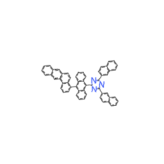 c1ccc2cc(-c3nc(-c4ccc5ccccc5c4)nc(-c4c5ccccc5c(-c5cccc6c5ccc5cc7ccccc7cc56)c5ccccc45)n3)ccc2c1